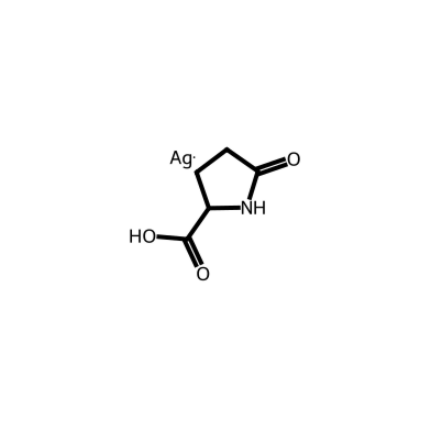 O=C1CCC(C(=O)O)N1.[Ag]